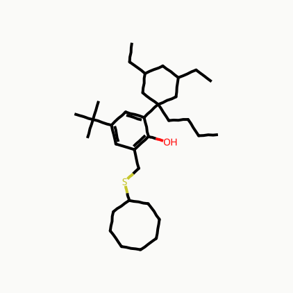 CCCCC1(c2cc(C(C)(C)C)cc(CSC3CCCCCCC3)c2O)CC(CC)CC(CC)C1